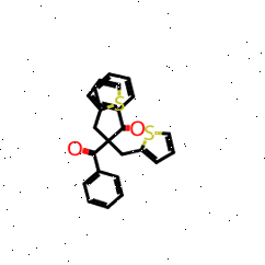 O=C(c1ccccc1)C(Cc1cccs1)(Cc1cccs1)C(=O)c1ccccc1